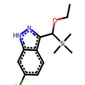 CCOC(c1n[nH]c2cc(Br)ccc12)[Si](C)(C)C